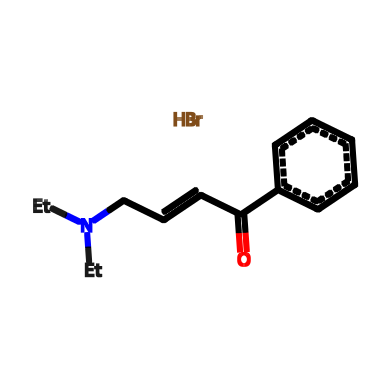 Br.CCN(CC)C/C=C/C(=O)c1ccccc1